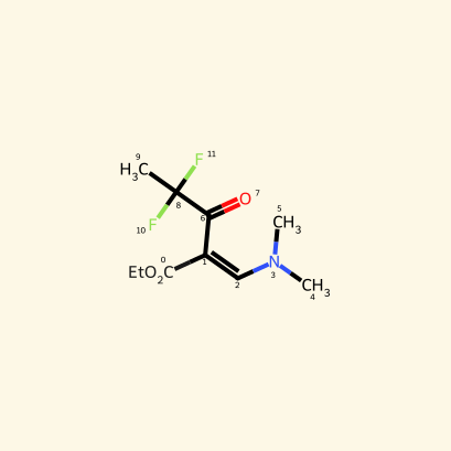 CCOC(=O)C(=CN(C)C)C(=O)C(C)(F)F